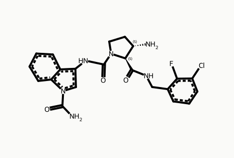 NC(=O)n1cc(NC(=O)N2CC[C@H](N)[C@H]2C(=O)NCc2cccc(Cl)c2F)c2ccccc21